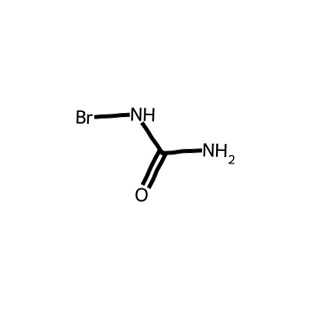 NC(=O)NBr